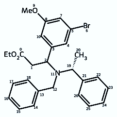 CCOC(=O)CC(c1cc(Br)cc(OC)c1)N(Cc1ccccc1)[C@H](C)c1ccccc1